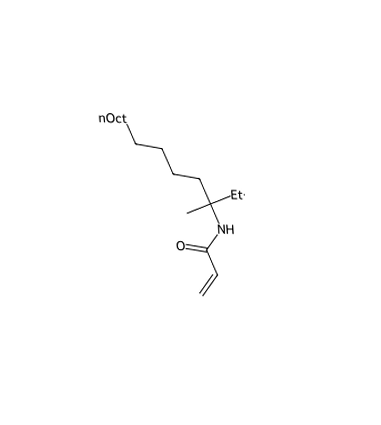 C=CC(=O)NC(C)([CH]C)CCCCCCCCCCCC